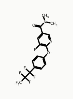 CN(C)C(=O)c1cnc(Oc2ccc(C(F)(F)C(F)(F)C(F)(F)F)cc2)c(F)c1